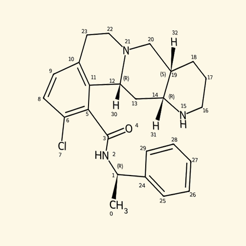 C[C@@H](NC(=O)c1c(Cl)ccc2c1[C@H]1C[C@H]3NCCC[C@H]3CN1CC2)c1ccccc1